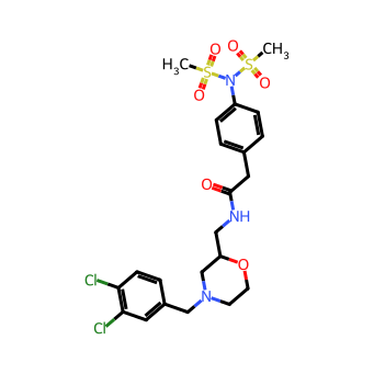 CS(=O)(=O)N(c1ccc(CC(=O)NCC2CN(Cc3ccc(Cl)c(Cl)c3)CCO2)cc1)S(C)(=O)=O